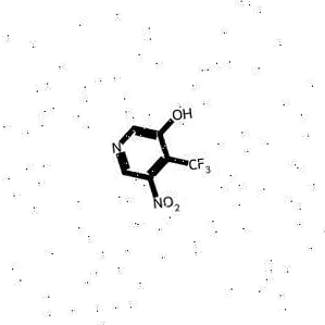 O=[N+]([O-])c1cncc(O)c1C(F)(F)F